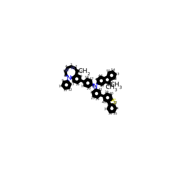 C=C1/C=C\C=C/CN(c2ccccc2)c2ccc(-c3ccc(N(c4cccc(-c5ccc6sc7ccccc7c6c5)c4)c4ccc5c(c4)C(C)(C)c4ccccc4-5)cc3)cc21